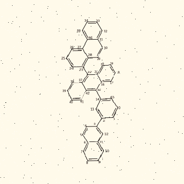 c1cc(-c2ccc3ccccc3c2)cc(-c2c3ccccc3c(-c3cccc4c3ccc3ccccc34)c3ccccc23)c1